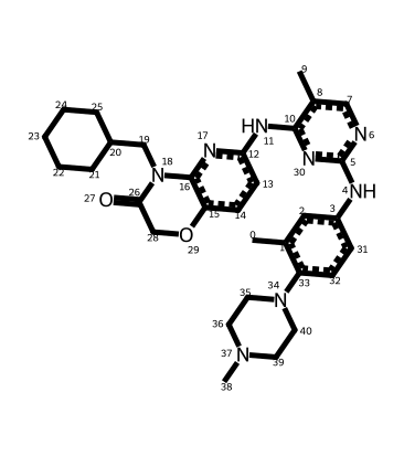 Cc1cc(Nc2ncc(C)c(Nc3ccc4c(n3)N(CC3CCCCC3)C(=O)CO4)n2)ccc1N1CCN(C)CC1